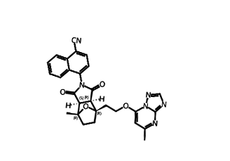 Cc1cc(OCC[C@@]23CC[C@@](C)(O2)[C@H]2C(=O)N(c4ccc(C#N)c5ccccc45)C(=O)[C@H]23)n2ncnc2n1